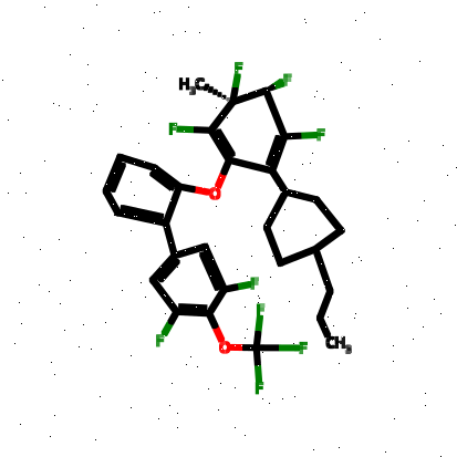 CCCC1CCC(C2=C(F)[C@H](F)[C@](C)(F)C(F)=C2Oc2ccccc2-c2cc(F)c(OC(F)(F)F)c(F)c2)CC1